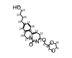 O=C1N=C(OC[C@@H]2COCCO2)CC=C2c3ccc(CCCCO)cc3CCN12